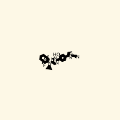 C[C@]12CCC[C@](C)(N1)[C@H](F)[C@H](N(c1cnc(-c3ccc(-c4csc(C#N)n4)cc3O)nn1)C1CC1)C2